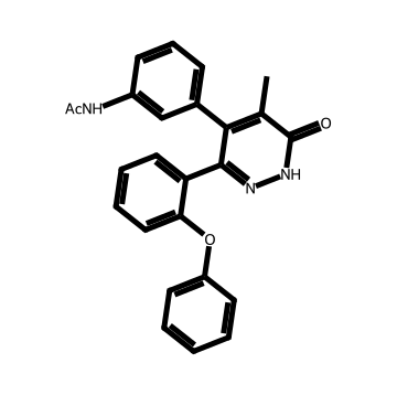 CC(=O)Nc1cccc(-c2c(-c3ccccc3Oc3ccccc3)n[nH]c(=O)c2C)c1